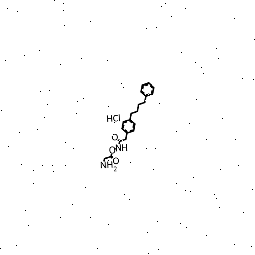 Cl.NCC(=O)ONC(=O)Cc1ccc(CCCCc2ccccc2)cc1